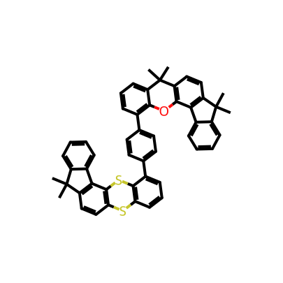 CC1(C)c2cccc(-c3ccc(-c4cccc5c4Sc4c(ccc6c4-c4ccccc4C6(C)C)S5)cc3)c2Oc2c1ccc1c2-c2ccccc2C1(C)C